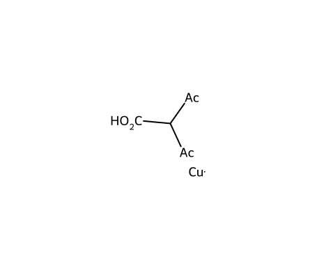 CC(=O)C(C(C)=O)C(=O)O.[Cu]